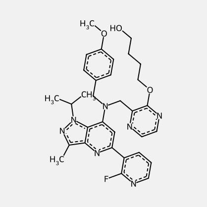 COc1ccc(CN(Cc2nccnc2OCCCCO)c2cc(-c3cccnc3F)nc3c(C)nn(C(C)C)c23)cc1